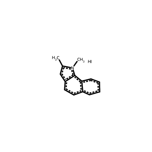 Cc1cc2ccc3ccccc3c2n1C.I